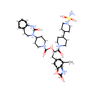 Cc1cc(C[C@@H](OC(=O)N2CCC(N3CCc4ccccc4NC3=O)CC2)C(=O)N2CCC(C3CCN(S(N)(=O)=O)CC3)CC2)cc2oc(=O)[nH]c12